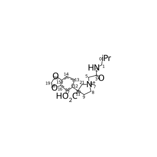 CC(C)CNC(=O)C[N+]1(C)CCC(C(=O)O)(c2ccc3c(c2)OCO3)C1